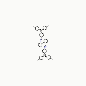 Cc1ccc(N(c2ccc(C)cc2)c2ccc(/C=C/c3ccccc3-c3ccccc3/C=C/c3ccc(N(c4ccc(C)cc4)c4ccc(C)cc4)cc3)cc2)cc1